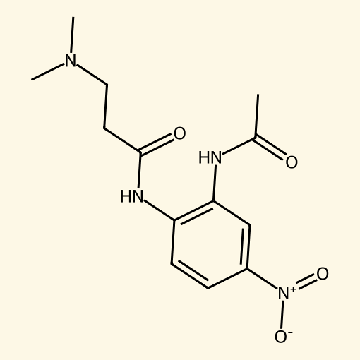 CC(=O)Nc1cc([N+](=O)[O-])ccc1NC(=O)CCN(C)C